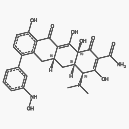 CN(C)[C@@H]1C(O)=C(C(N)=O)C(=O)[C@@]2(O)C(O)=C3C(=O)c4c(O)ccc(-c5cccc(NO)c5)c4C[C@H]3C[C@@H]12